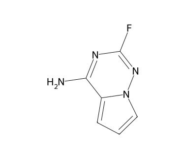 Nc1nc(F)nn2cccc12